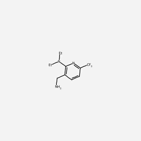 CCN(CC)c1nc(C(F)(F)F)ccc1CN